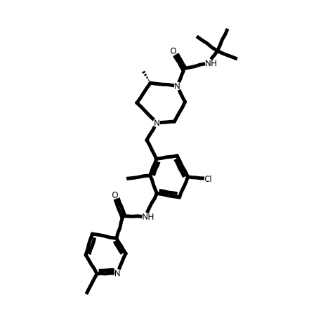 Cc1ccc(C(=O)Nc2cc(Cl)cc(CN3CCN(C(=O)NC(C)(C)C)[C@@H](C)C3)c2C)cn1